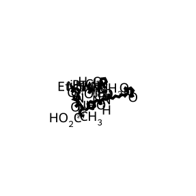 CCNC(=O)O[C@H](C[C@H](C(C)C)N(C)C(=O)[C@@H](NC(=O)[C@@]1(C)CCCN1C)[C@@H](C)CC)c1nc(C(=O)N[C@@H](Cc2ccc(NC(=O)CNC(=O)CCCCCN3C(=O)C=CC3=O)cc2)C[C@H](C)C(=O)O)cs1